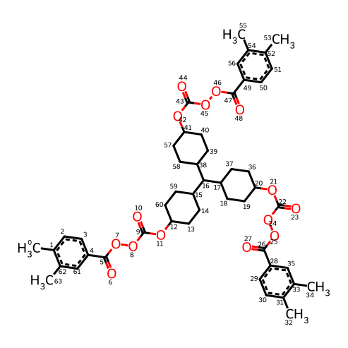 Cc1ccc(C(=O)OOC(=O)OC2CCC(C(C3CCC(OC(=O)OOC(=O)c4ccc(C)c(C)c4)CC3)C3CCC(OC(=O)OOC(=O)c4ccc(C)c(C)c4)CC3)CC2)cc1C